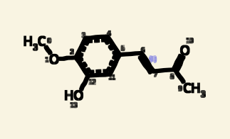 COc1ccc(/C=C/C(C)=O)cc1O